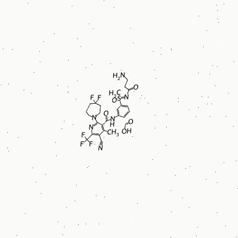 Cc1c(C#N)c(C(F)(F)F)nc(N2CCCC(F)(F)CC2)c1C(=O)Nc1cccc([S@@](C)(=O)=NC(=O)CCN)c1.O=CO